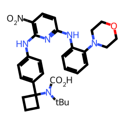 CC(C)(C)N(C(=O)O)C1(c2ccc(Nc3nc(Nc4ccccc4N4CCOCC4)ccc3[N+](=O)[O-])cc2)CCC1